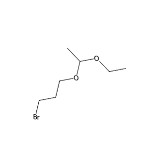 CCOC(C)OCCCBr